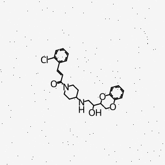 O=C(/C=C/c1ccccc1Cl)N1CCC(NCC(O)C2COc3ccccc3O2)CC1